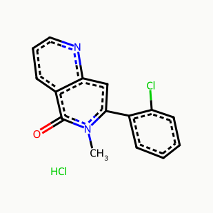 Cl.Cn1c(-c2ccccc2Cl)cc2ncccc2c1=O